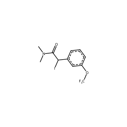 CN(C)C(=O)C(I)c1cccc(OC(F)(F)F)c1